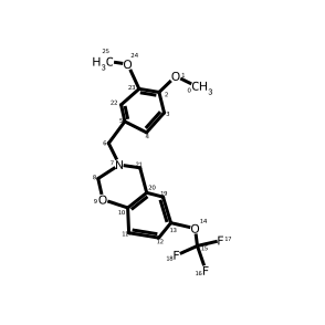 COc1ccc(CN2COc3ccc(OC(F)(F)F)cc3C2)cc1OC